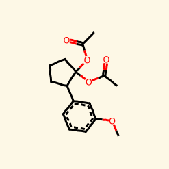 COc1cccc(C2CCCC2(OC(C)=O)OC(C)=O)c1